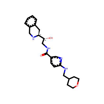 O=C(NC[C@@H](O)[C@@H]1Cc2ccccc2CN1)c1ccc(NCC2CCOCC2)nc1